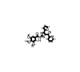 COc1cc(C(=O)Nc2nc(-c3ccco3)c(C(=O)c3ccccn3)s2)cc(OC)c1OC